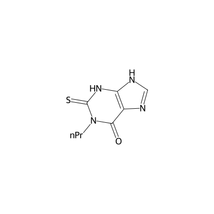 CCCn1c(=S)[nH]c2[nH]cnc2c1=O